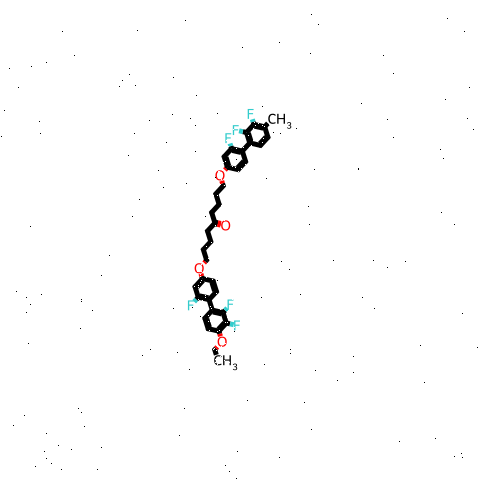 CCOc1ccc(-c2ccc(OCCCCC(=O)CCCCOc3ccc(-c4ccc(C)c(F)c4F)c(F)c3)cc2F)c(F)c1F